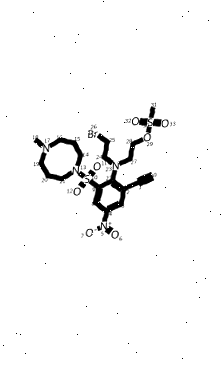 C#Cc1cc([N+](=O)[O-])cc(S(=O)(=O)N2CCCN(C)CCC2)c1N(CCBr)CCOS(C)(=O)=O